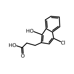 O=C(O)CCc1cc(Cl)c2ccccc2c1O